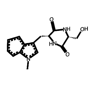 Cn1cc(C[C@H]2NC(=O)[C@@H](CO)NC2=O)c2ccccc21